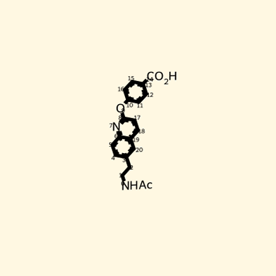 CC(=O)NCCc1ccc2nc(Oc3ccc(C(=O)O)cc3)ccc2c1